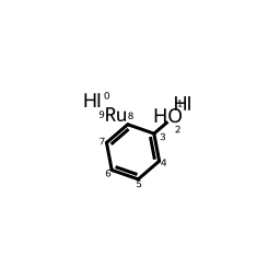 I.I.Oc1ccccc1.[Ru]